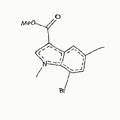 COC(=O)c1cn(C)c2c(Br)cc(C)cc12